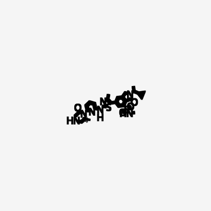 CNS(=O)(=O)c1cc(-c2sc(Nc3cccc(N4C(=O)CNC[C@@H]4C)n3)nc2C)cc2c1C(=O)N(C(C)C1CC1)C2